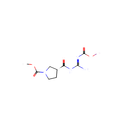 CC(C)(C)OC(=O)N1CC[C@H](C(=O)NC(N)=NC(=O)OP)C1